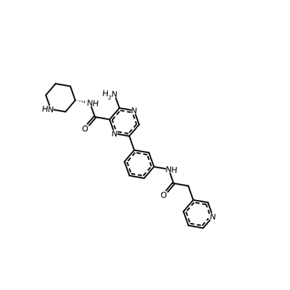 Nc1ncc(-c2cccc(NC(=O)Cc3cccnc3)c2)nc1C(=O)N[C@H]1CCCNC1